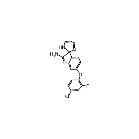 NC(=O)C1(c2ccc(Oc3ccc(Cl)cc3F)cc2)N=CC=CN1